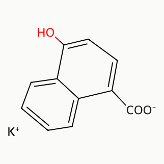 O=C([O-])c1ccc(O)c2ccccc12.[K+]